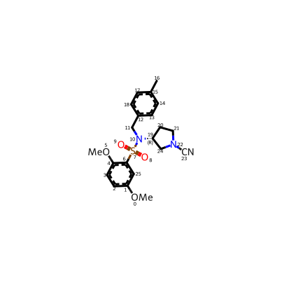 COc1ccc(OC)c(S(=O)(=O)N(Cc2ccc(C)cc2)[C@@H]2CCN(C#N)C2)c1